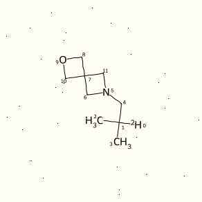 [2H]C(C)(C)CN1CC2(COC2)C1